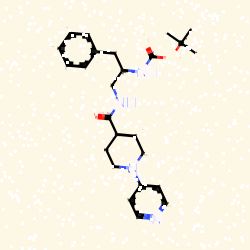 CC(C)(C)OC(=O)NC(CNC(=O)C1CCN(c2ccncc2)CC1)Cc1ccccc1